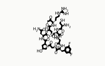 N=C(N)NCCC[C@H](NC(=O)C(CS)NC(=O)[C@H](CC(N)=O)NC(=O)C1CC(O)CN1C(=O)CNC(=O)[C@H](Cc1cc(F)cc(F)c1)NC(=O)CNC(=O)[C@@H](CC(=O)O)NC(=O)[C@H](N)CS)C(=O)I